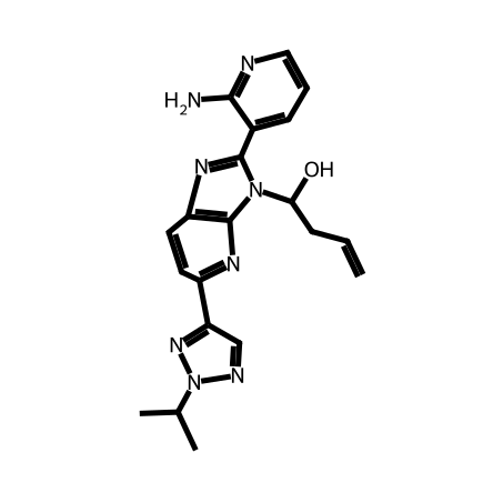 C=CCC(O)n1c(-c2cccnc2N)nc2ccc(-c3cnn(C(C)C)n3)nc21